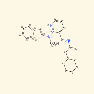 CC(CC1CCCCC1)NCc1cccnc1N(C(=O)O)c1cc2ccccc2s1